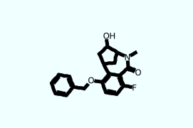 CN1C(=O)c2c(F)ccc(OCc3ccccc3)c2C2CC(O)C1C2